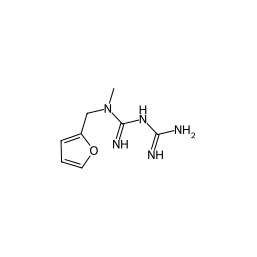 CN(Cc1ccco1)C(=N)NC(=N)N